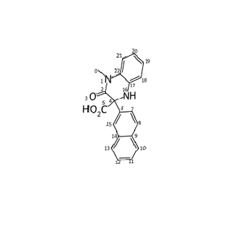 CN1C(=O)C(C(=O)O)(c2ccc3ccccc3c2)Nc2ccccc21